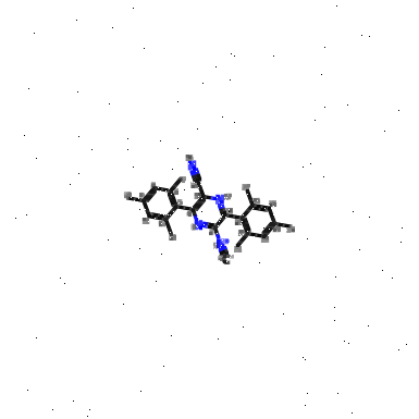 [C-]#[N+]c1nc(-c2c(C)cc(C)cc2C)c(C#N)nc1-c1c(C)cc(C)cc1C